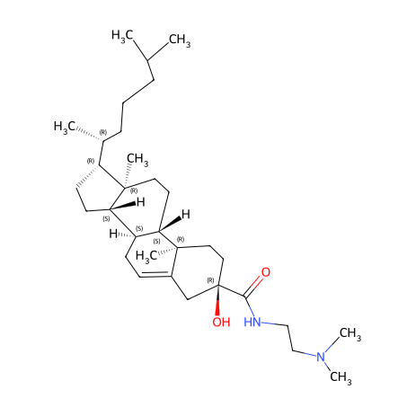 CC(C)CCC[C@@H](C)[C@H]1CC[C@H]2[C@@H]3CC=C4C[C@@](O)(C(=O)NCCN(C)C)CC[C@]4(C)[C@H]3CC[C@]12C